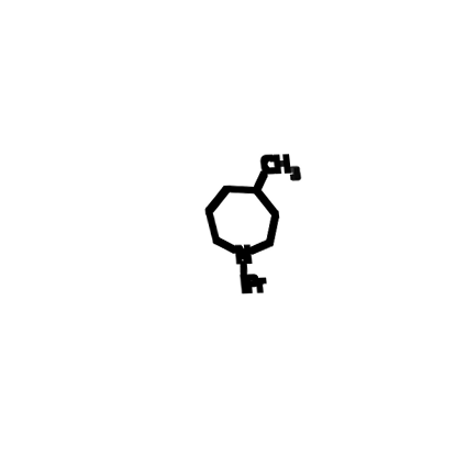 CC1CCCN(C(C)C)CC1